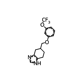 FC(F)(F)Oc1cccc(OCC2CCc3[nH]cnc3C2)c1